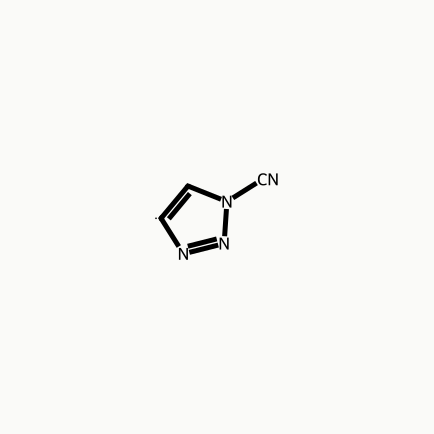 N#Cn1c[c]nn1